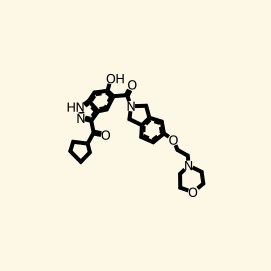 O=C(c1n[nH]c2cc(O)c(C(=O)N3Cc4ccc(OCCN5CCOCC5)cc4C3)cc12)C1CCCC1